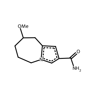 COC1CCCn2cc(C(N)=O)cc2C1